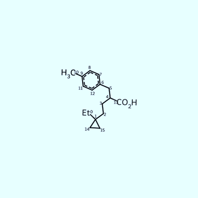 CCC1(CCC(Cc2ccc(C)cc2)C(=O)O)CC1